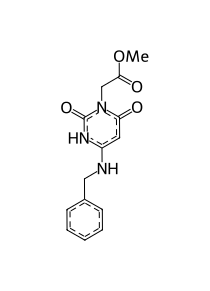 COC(=O)Cn1c(=O)cc(NCc2ccccc2)[nH]c1=O